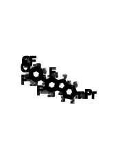 CCCc1ccc2c(c1)Cc1c-2cc(F)c(-c2ccc(OC(F)(F)F)c(F)c2)c1F